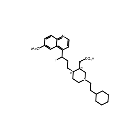 COc1ccc2nccc(C(F)CC[C@@H]3CCN(CCC4CCCCC4)C[C@@H]3CC(=O)O)c2c1